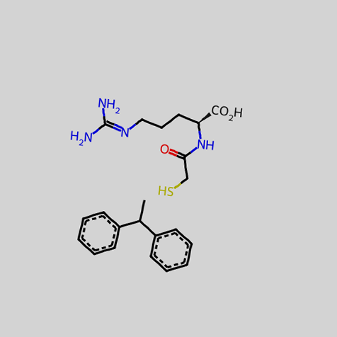 CC(c1ccccc1)c1ccccc1.NC(N)=NCCC[C@H](NC(=O)CS)C(=O)O